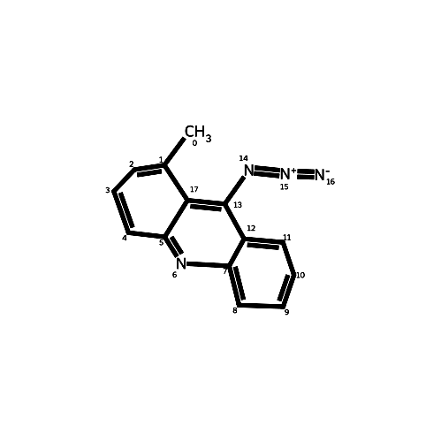 Cc1cccc2nc3ccccc3c(N=[N+]=[N-])c12